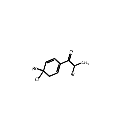 CC(Br)C(=O)C1=CCC(Cl)(Br)C=C1